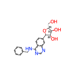 OC[C@H]1OC(c2ccc3c(NCc4ccccc4)ncnc3c2)[C@H](O)[C@@H]1O